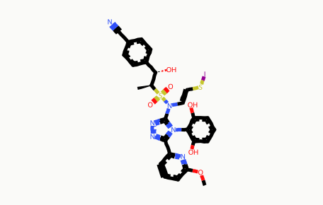 COc1cc#cc(-c2nnc(N(/C=C/SI)S(=O)(=O)[C@@H](C)[C@@H](O)c3ccc(C#N)cc3)n2-c2c(O)cccc2O)n1